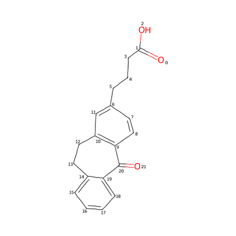 O=C(O)CCCc1ccc2c(c1)CCc1ccccc1C2=O